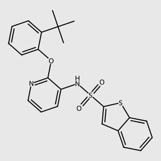 CC(C)(C)c1ccccc1Oc1ncccc1NS(=O)(=O)c1cc2ccccc2s1